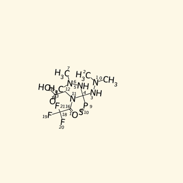 CN(C)NC(NN(C)C)(P=S)N(CC(=O)O)C(=O)C(F)(F)F